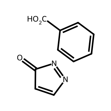 O=C(O)c1ccccc1.O=C1C=CN=N1